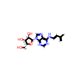 C=C(C)C=CNc1ncnc2c1ncn2[C@@H]1O[C@H](CO)[C@@H](O)[C@H]1O